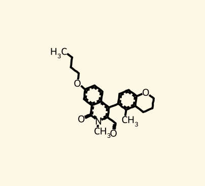 CCCCOc1ccc2c(-c3ccc4c(c3C)CCCO4)c(C=O)n(C)c(=O)c2c1